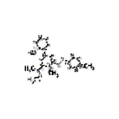 C=C/C(C)=C1/C=C(c2ccccc2O)C=C(CCc2ccc(C)cc2)[C@@H]1C